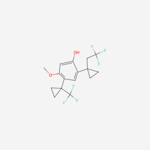 COc1cc(O)c(C2(CC(F)(F)F)CC2)cc1C1(C(F)(F)F)CC1